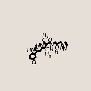 Cc1[nH]c(C=C2C(=O)Nc3ccc(Cl)cc32)c(C)c1C(=O)NCC(O)Cn1ccnn1